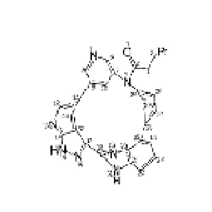 CC(C)CC(=O)n1c2cncc(c2)c2cnc3[nH]nc(c4nc5c(cccc5c5ccc1s5)[nH]4)c3c2